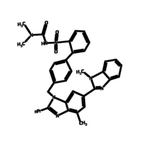 CCCc1nc2c(C)cc(-c3nc4ccccc4n3C)cc2n1Cc1ccc(-c2ccccc2S(=O)(=O)NC(=O)N(C)C)cc1